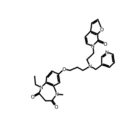 CCN1C(=O)CC(=O)N(C)c2cc(OCCCN(CCn3ccc4ccoc4c3=O)Cc3cccnc3)ccc21